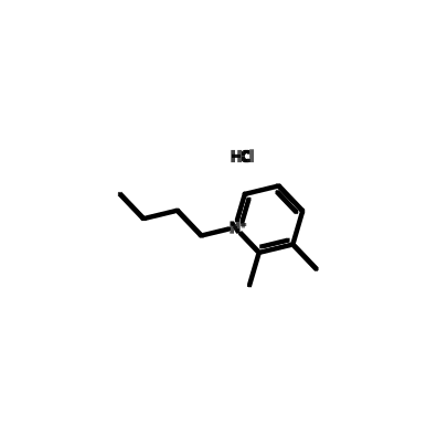 CCCC[n+]1cccc(C)c1C.Cl